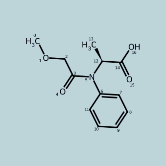 COCC(=O)N(c1ccccc1)[C@@H](C)C(=O)O